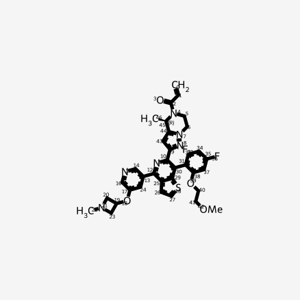 C=CC(=O)N1CCn2nc(-c3nc(-c4cncc(OC5CN(C)C5)c4)c4ccsc4c3-c3c(F)cc(F)cc3OCCOC)cc2[C@H]1C